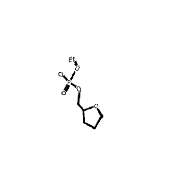 CCOP(=O)(Cl)OCC1CCCO1